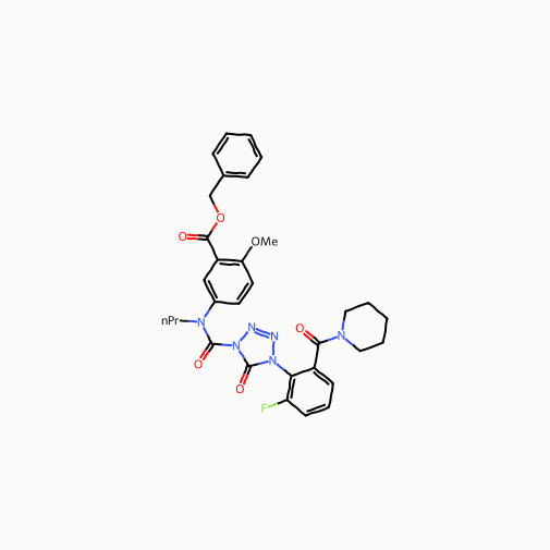 CCCN(C(=O)n1nnn(-c2c(F)cccc2C(=O)N2CCCCC2)c1=O)c1ccc(OC)c(C(=O)OCc2ccccc2)c1